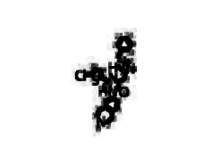 CN1CCc2ccc(NC(=O)C(Cc3cn(Cc4ccccc4)cn3)NC(=O)c3ccc(Cl)s3)cc2CC1